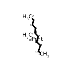 CCCC(C)C.CCCCCCCCCC